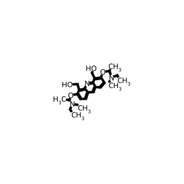 CCN(CC)C(C)Oc1ccc2cc3ccc(OC(C)N(CC)CC)c(CO)c3nc2c1CO